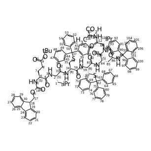 CC(C)C[C@H](NC(=O)[C@H](CCC(=O)OC(C)(C)C)NC(=O)OCC1c2ccccc2-c2ccccc21)C(=O)N[C@@H](CSC(c1ccccc1)(c1ccccc1)c1ccccc1)C(=O)N[C@@H](CSC(c1ccccc1)(c1ccccc1)c1ccccc1)C(=O)N[C@@H](CC(=O)NC(c1ccccc1)(c1ccccc1)c1ccccc1)C(=O)N[C@H](C(=O)N[C@@H](C)C(=O)O)C(C)C